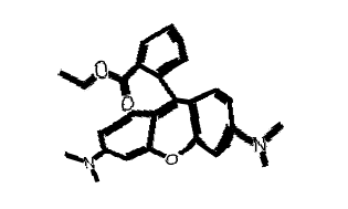 CCOC(=O)c1ccccc1C1=C2C=CC(N(C)C)C=C2Oc2cc(N(C)C)ccc21